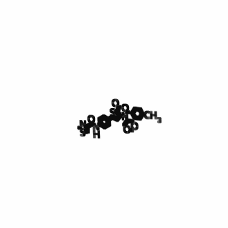 C[C@H]1CC[C@H](C(=O)N(c2cc(-c3ccc(NC(=O)c4cscn4)cc3)sc2C=O)C2COCOC2)CC1